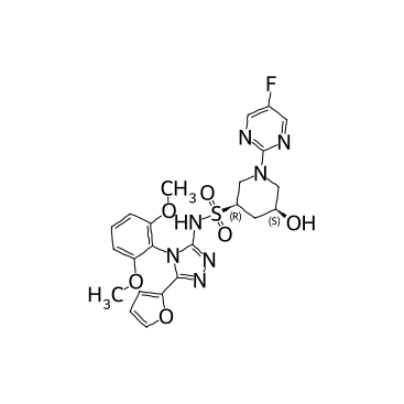 COc1cccc(OC)c1-n1c(NS(=O)(=O)[C@@H]2C[C@H](O)CN(c3ncc(F)cn3)C2)nnc1-c1ccco1